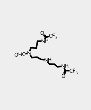 O=CN(CCCNCCCNC(=O)C(F)(F)F)CCCNC(=O)C(F)(F)F